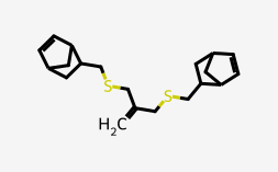 C=C(CSCC1CC2C=CC1C2)CSCC1CC2C=CC1C2